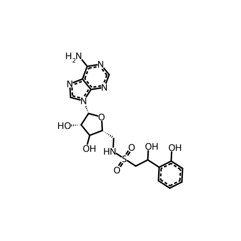 Nc1ncnc2c1ncn2[C@@H]1O[C@H](CNS(=O)(=O)CC(O)c2ccccc2O)C(O)[C@@H]1O